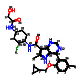 Cc1ccc(OCC2CC2)c(-c2ncnc3c(C(=O)N[C@H]4CC[C@@H](NC(=O)CO)C[C@H]4F)c(C)[nH]c23)c1